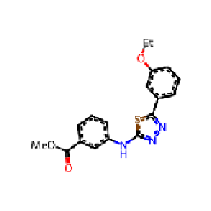 CCOc1cccc(-c2nnc(Nc3cccc(C(=O)OC)c3)s2)c1